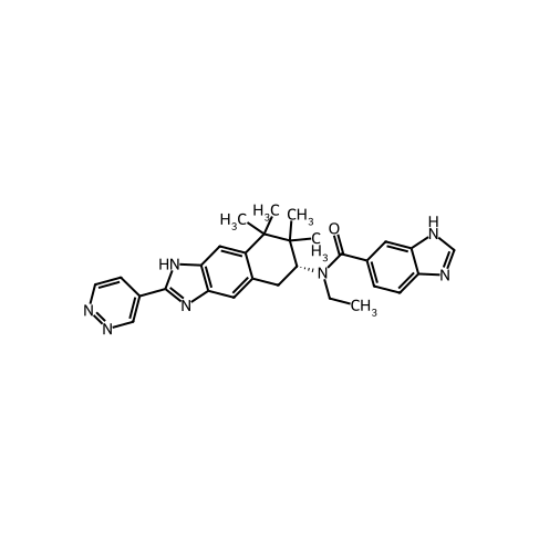 CCN(C(=O)c1ccc2nc[nH]c2c1)[C@@H]1Cc2cc3nc(-c4ccnnc4)[nH]c3cc2C(C)(C)C1(C)C